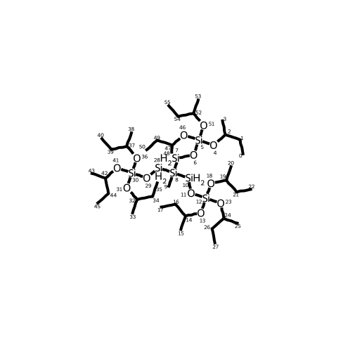 CCC(C)O[Si](O[SiH2][Si](C)([SiH2]O[Si](OC(C)CC)(OC(C)CC)OC(C)CC)[SiH2]O[Si](OC(C)CC)(OC(C)CC)OC(C)CC)(OC(C)CC)OC(C)CC